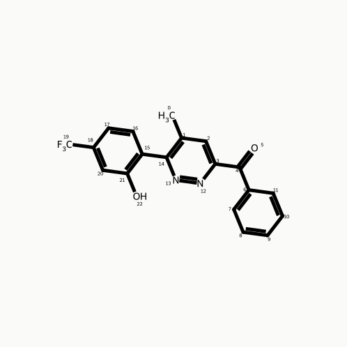 Cc1cc(C(=O)c2ccccc2)nnc1-c1ccc(C(F)(F)F)cc1O